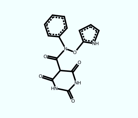 O=C1NC(=O)C(C(=O)N(Oc2ccc[nH]2)c2ccccc2)C(=O)N1